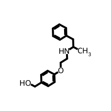 CC(Cc1ccccc1)NCCOc1ccc(CO)cc1